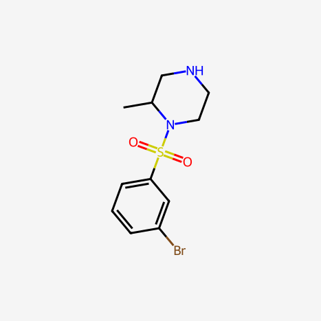 CC1CNCCN1S(=O)(=O)c1cccc(Br)c1